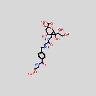 CO[C@]1(C(=O)O)CC(O)[C@]2(CNC(=O)CNCc3ccc(C(=O)NCCOO)cc3)C(O1)C2(O)[C@H](O)CO